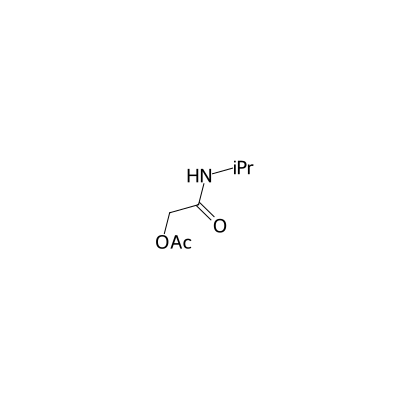 CC(=O)OCC(=O)NC(C)C